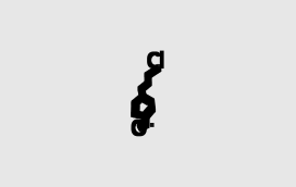 O=[C]c1ccc(CCCCCl)cc1